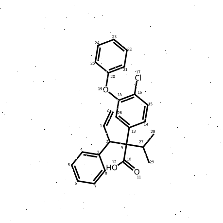 C=CC(c1ccccc1)C(C(=O)O)(c1ccc(Cl)c(Oc2ccccc2)c1)C(C)C